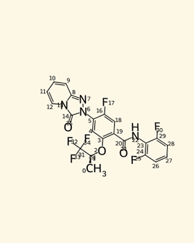 C[C@H](Oc1cc(-n2nc3ccccn3c2=O)c(F)cc1C(=O)Nc1c(F)cccc1F)C(F)(F)F